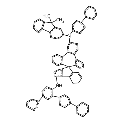 CC1(C)c2ccccc2-c2ccc(N(c3ccc(-c4ccccc4)cc3)c3ccc4c(c3)-c3ccccc3C3(C5=C(CCC=C5)c5c(Nc6ccc(-c7ccccc7)cc6-c6ccc(-c7ccccc7)cc6)cccc53)c3ccccc3-4)cc21